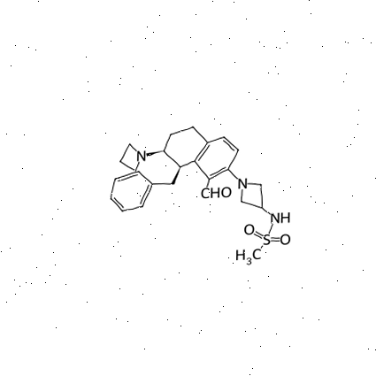 CS(=O)(=O)NC1CN(c2ccc3c(c2C=O)[C@@H](Cc2ccccc2)[C@@H](N2CCC2)CC3)C1